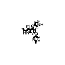 CCc1[nH]c2nc(Oc3cnc(C)nc3)nc(OC3CCNC3)c2c1Cl